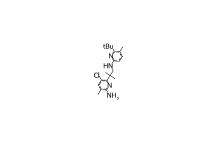 Cc1cc(Cl)c(C(C)(C)CNc2ccc(C)c(C(C)(C)C)n2)nc1N